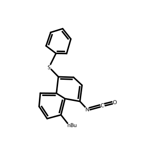 CCCCc1cccc2c(Sc3ccccc3)ccc(N=C=O)c12